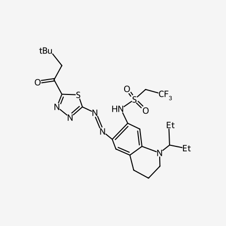 CCC(CC)N1CCCc2cc(N=Nc3nnc(C(=O)CC(C)(C)C)s3)c(NS(=O)(=O)CC(F)(F)F)cc21